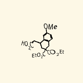 CCOC(=O)C1(C(=O)OCC)Cc2ccc(OC)cc2C(CC(=O)O)C1